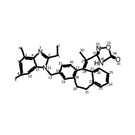 CCc1nc2c(C)cc(C)cc2n1Cc1ccc2c(c1)CCc1ccccc1/C2=C(/C)c1noc(=O)[nH]1